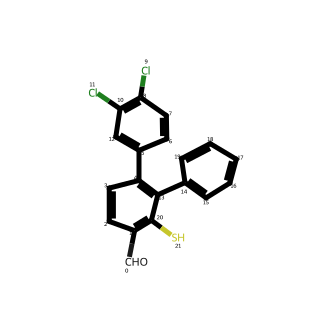 O=Cc1ccc(-c2ccc(Cl)c(Cl)c2)c(-c2ccccc2)c1S